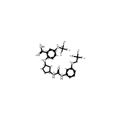 O=C(Nc1cccc(OCC(F)(F)F)c1)NC1CCC(Oc2ccc(OC(F)(F)F)cc2C(=O)O)C1